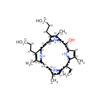 C=Cc1c2nc(c(O)c3[nH]c(cc4nc(cc5[nH]c1cc5C)C(C)=C4CCC(=O)O)c(CCC(=O)O)c3C)C=C2C